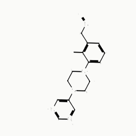 O=NCc1cccc(N2CCN(c3cncnc3)CC2)c1F